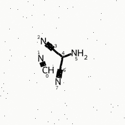 C#N.N#CC(N)C#N